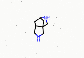 C1NCC23CNC(CC12)C3